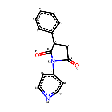 O=C1CC(c2ccccc2)C(=O)N1c1ccncc1